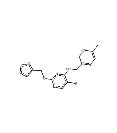 CC1=CN=C(CNc2nc(OCc3ccco3)ncc2F)CN1